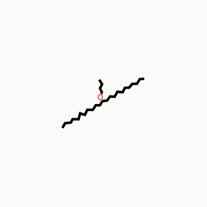 CCCCCCCCCCCC(CCCCCCCCCCC)OCCCC